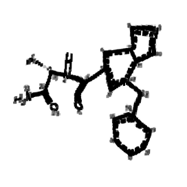 CC(C)[C@H](NC(=O)c1cc2cncc-2n(Cc2ccccc2)c1)C(N)=O